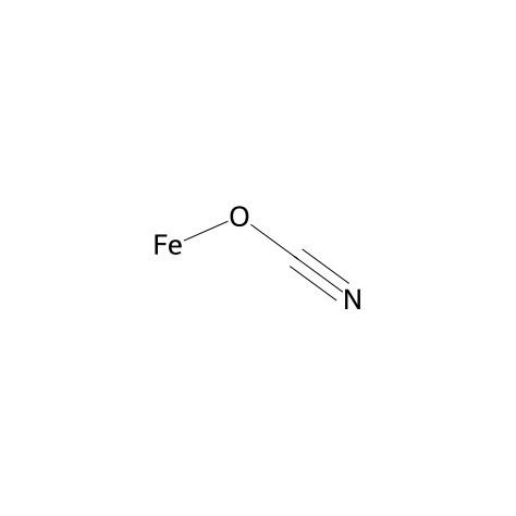 N#C[O][Fe]